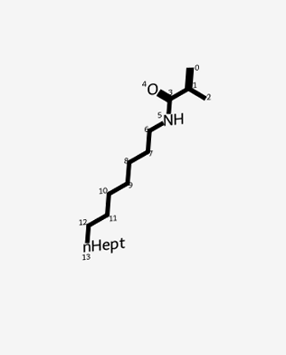 C=C(C)C(=O)NCCCCCCCCCCCCCC